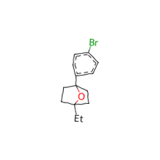 CCC12CCC(c3ccc(Br)cc3)(CC1)O2